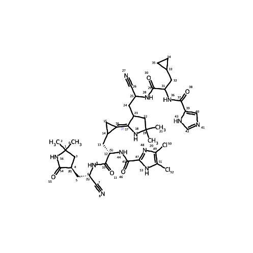 CC1(C)C[C@@H](C[C@@H](C#N)NC(=O)[C@H](CC2C/C2=C2/NC(C)(C)CC2CC(C#N)NC(=O)C(CC2CC2)NC(=O)c2cnc[nH]2)NC(=O)c2nc(Cl)c(Cl)[nH]2)C(=O)N1